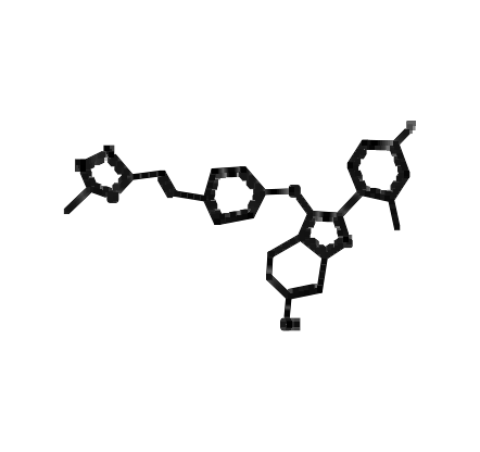 Cc1nnc(/C=C/c2ccc(Oc3c(-c4ccc(F)cc4C)sc4c3CCC(O)=C4)cc2)o1